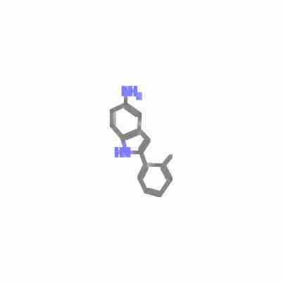 Cc1ccccc1-c1cc2cc(N)ccc2[nH]1